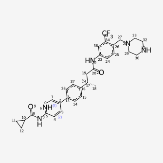 C/C=C(\C=C/C(=N)NC(=O)C1CC1)c1ccc([C@@H](C)CC(=O)Nc2ccc(CN3CCNCC3)c(C(F)(F)F)c2)cc1